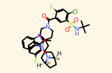 Cc1nc2ccccc2n1C1C[C@H]2CC[C@@H](C1)N2CCC1(c2cccc(F)c2)CCN(C(=O)c2cc(S(=O)(=O)NC(C)(C)C)c(Cl)cc2F)CC1